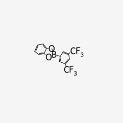 FC(F)(F)c1cc(B2Oc3ccccc3O2)cc(C(F)(F)F)c1